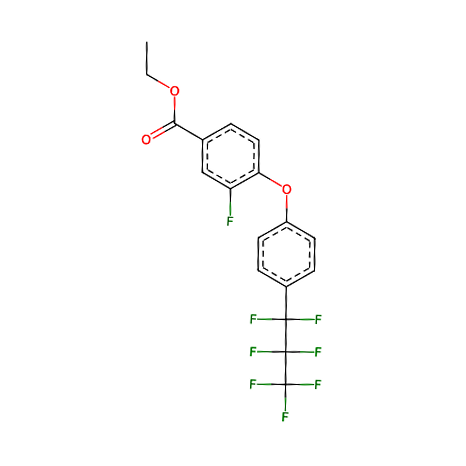 CCOC(=O)c1ccc(Oc2ccc(C(F)(F)C(F)(F)C(F)(F)F)cc2)c(F)c1